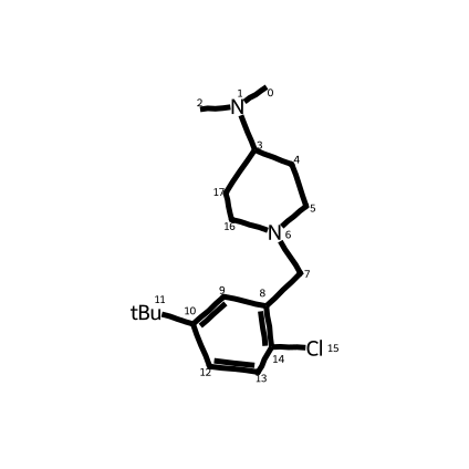 CN(C)C1CCN(Cc2cc(C(C)(C)C)ccc2Cl)CC1